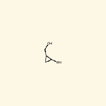 OCC1C[C]1O